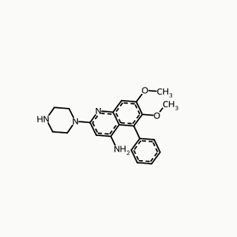 COc1cc2nc(N3CCNCC3)cc(N)c2c(-c2ccccc2)c1OC